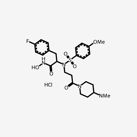 CNC1CCN(C(=O)CCN(C(Cc2ccc(F)cc2)C(=O)NO)S(=O)(=O)c2ccc(OC)cc2)CC1.Cl